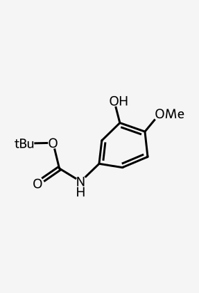 COc1ccc(NC(=O)OC(C)(C)C)cc1O